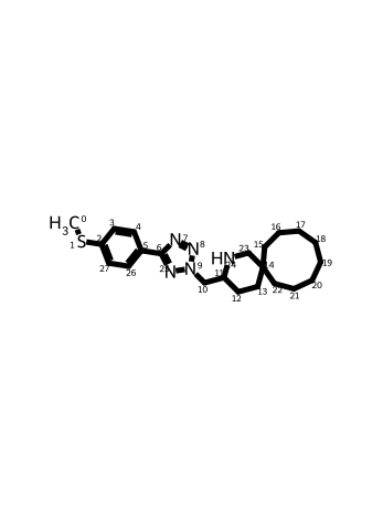 CSc1ccc(-c2nnn(CC3CCC4(CCCCCCCC4)CN3)n2)cc1